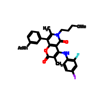 COCCCn1c(C)c(-c2cccc(NC(C)=O)c2)c2oc(=O)c(C)c(Nc3ccc(I)cc3F)c2c1=O